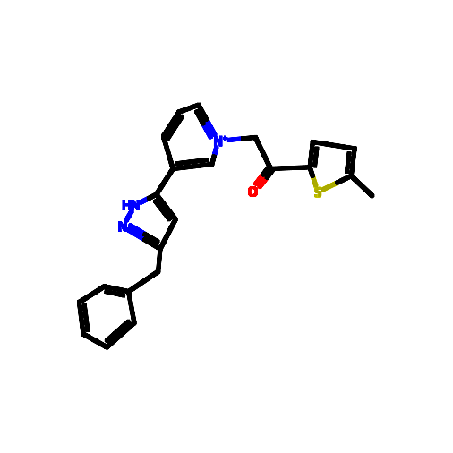 Cc1ccc(C(=O)C[n+]2cccc(-c3cc(Cc4ccccc4)n[nH]3)c2)s1